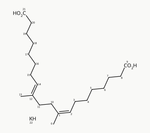 CC(=CCCCCCCC(=O)O)CCC(C)=CCCCCCCC(=O)O.[KH]